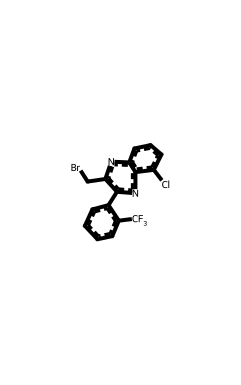 FC(F)(F)c1ccccc1-c1nc2c(Cl)cccc2nc1CBr